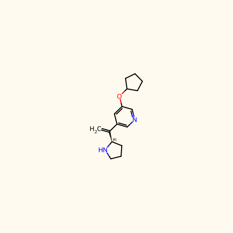 C=C(c1cncc(OC2CCCC2)c1)[C@H]1CCCN1